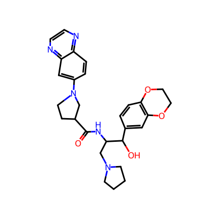 O=C(NC(CN1CCCC1)C(O)c1ccc2c(c1)OCCO2)C1CCN(c2ccc3nccnc3c2)C1